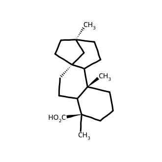 C[C@@]12CCC3[C@@](CCC4[C@@]3(C)CCC[C@@]4(C)C(=O)O)(CC1)C2